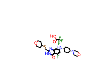 O=C(O)C(F)(F)F.O=c1[nH]c(CSC2CCOCC2)nc2cc(N[C@H]3CC[C@@H](N4CCOCC4)CC3)cc(F)c12